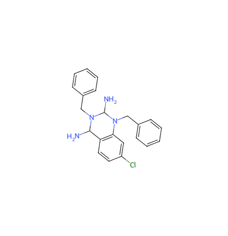 NC1c2ccc(Cl)cc2N(Cc2ccccc2)C(N)N1Cc1ccccc1